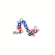 CNC(=O)COc1cc2cc(Nc3nc(N4CCN(C(C)(C)C5CCN(c6cccc7c6C(=O)N(C6CCC(=O)NC6=O)C7=O)CC5)CC4)ncc3Cl)ccc2n(C)c1=O